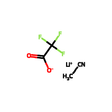 CC#N.O=C([O-])C(F)(F)F.[Li+]